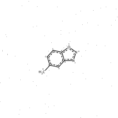 [CH2]c1ccc2onnc2c1